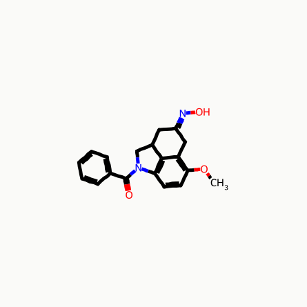 COc1ccc2c3c1CC(=NO)CC3CN2C(=O)c1ccccc1